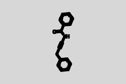 O=C(NC#CCc1ccccc1)c1ccccc1